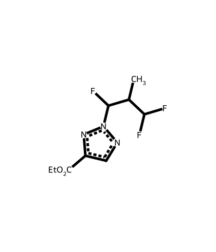 CCOC(=O)c1cnn(C(F)C(C)C(F)F)n1